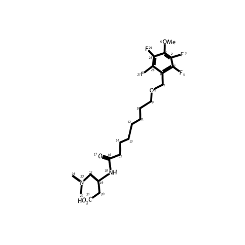 COc1c(F)c(F)c(COCCCCCCCC(=O)NC(CC(=O)O)CN(C)C)c(F)c1F